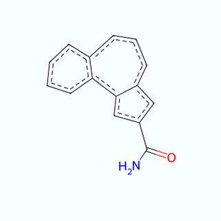 NC(=O)c1cc2cccc3ccccc3c-2c1